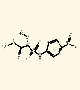 C[CH][C@@H](C(=O)OC)S(=O)(=O)Nc1ccc([N+](=O)[O-])cc1